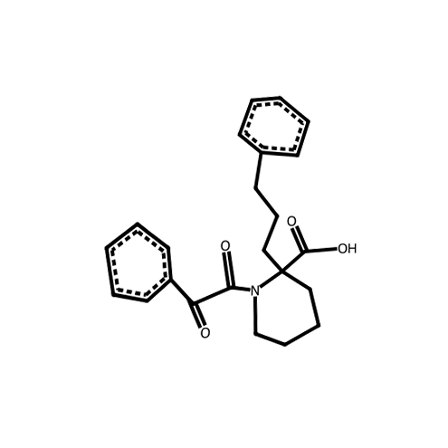 O=C(C(=O)N1CCCCC1(CCCc1ccccc1)C(=O)O)c1ccccc1